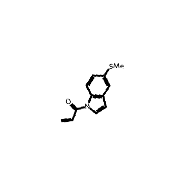 C=CC(=O)n1ccc2cc(SC)ccc21